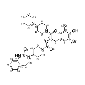 O=C(O[C@H](Cc1cc(Br)c(O)c(Br)c1)C(=O)N1CCC(N2CCCCC2)CC1)N1CCC(N2CCc3ccccc3NC2=O)CC1